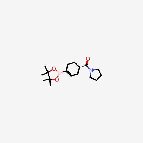 CC1(C)OB(C2=CC[C@@H](C(=O)N3CCCC3)CC2)OC1(C)C